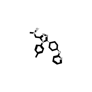 Cc1ccc(-n2c(C[S+](C)[O-])nnc2[C@H]2CC[C@H](Oc3ccccn3)CC2)cc1